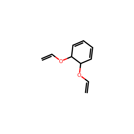 C=COC1C=CC=CC1OC=C